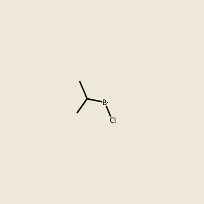 CC(C)[B]Cl